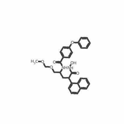 COCOCC(CC(C(=O)NO)c1cccc2ccccc12)NC(=O)c1ccc(Oc2ccccc2)cc1